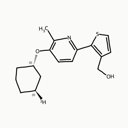 [2H][C@H]1CCC[C@H](Oc2ccc(-c3sccc3CO)nc2C)C1